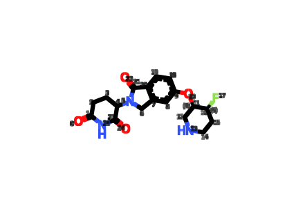 O=C1CCC(N2Cc3cc(O[C@@H]4CNCC[C@@H]4F)ccc3C2=O)C(=O)N1